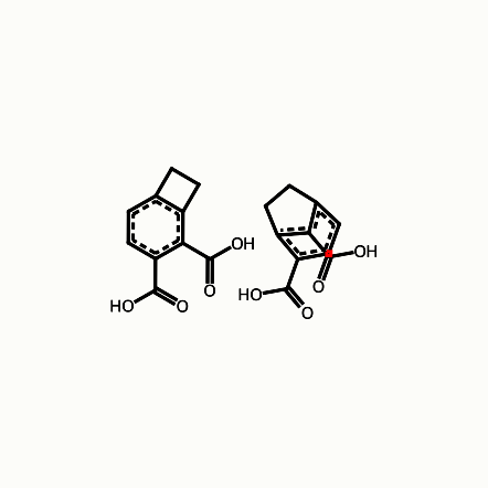 O=C(O)c1ccc2c(C(=O)O)c1CC2.O=C(O)c1ccc2c(c1C(=O)O)CC2